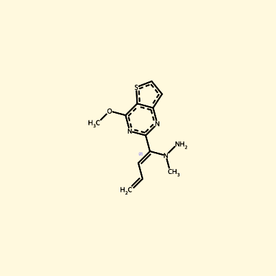 C=C/C=C(/c1nc(OC)c2sccc2n1)N(C)N